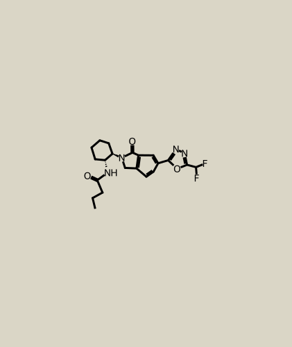 CCCC(=O)N[C@@H]1CCCC[C@H]1N1Cc2ccc(-c3nnc(C(F)F)o3)cc2C1=O